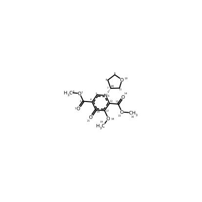 COC(=O)c1cn([C@@H]2CCOC2)c(C(=O)OC)c(OC)c1=O